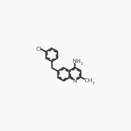 Cc1cc(N)c2cc(Cc3cccc(Cl)c3)ccc2n1